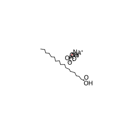 CCCCCCCCCCCCCCCCCC(=O)O.O=P([O-])([O-])O.[Na+].[Na+]